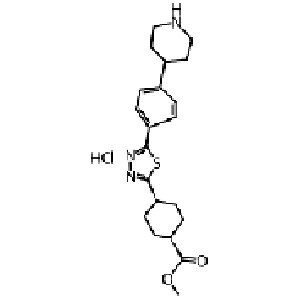 COC(=O)[C@H]1CC[C@@H](c2nnc(-c3ccc(C4CCNCC4)cc3)s2)CC1.Cl